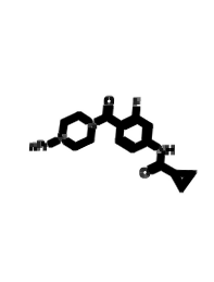 CCCN1CCN(C(=O)c2ccc(NC(=O)C3CC3)cc2F)CC1